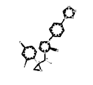 C[C@@H](n1ccn(-c2ccc(-n3cnnn3)cc2)c1=O)[C@]1(c2ccc(F)cc2F)CO1